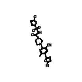 CCc1cnc(-c2cc(C#N)c(N3CCN(C(=O)NS(=O)(=O)c4ccc(Cl)s4)CC3)nc2C)o1